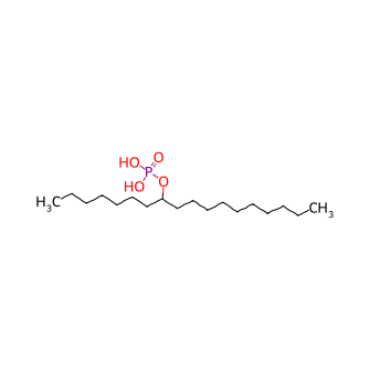 CCCCCCCCCCC(CCCCCCC)OP(=O)(O)O